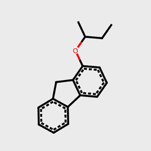 CCC(C)Oc1cccc2c1Cc1ccccc1-2